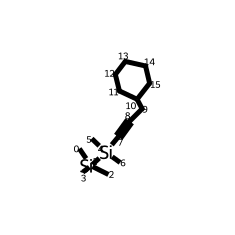 C[Si](C)(C)[Si](C)(C)C#CCC1CCCCC1